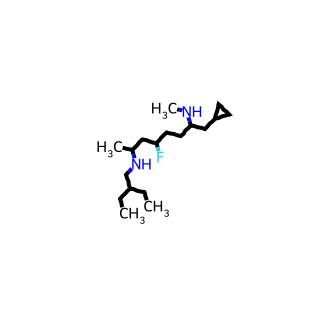 CCC(CC)CNC(C)CC(F)CCC(CC1CC1)NC